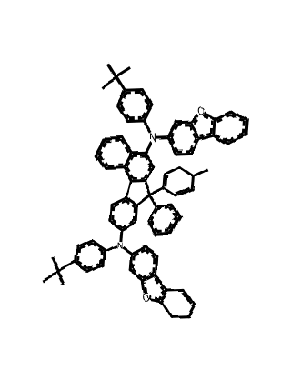 CC1C=CC(C2(c3ccccc3)c3cc(N(c4ccc(C(C)(C)C)cc4)c4ccc5c6c(oc5c4)CCC=C6)ccc3-c3c2cc(N(c2ccc(C(C)(C)C)cc2)c2ccc4c(c2)oc2ccccc24)c2ccccc32)=CC1